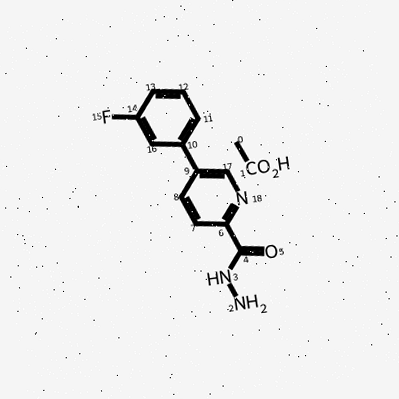 CC(=O)O.NNC(=O)c1ccc(-c2cccc(F)c2)cn1